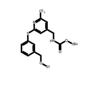 CCOCc1cccc(Sc2cc(CNC(=O)OC(C)(C)C)cc(C(F)(F)F)n2)c1